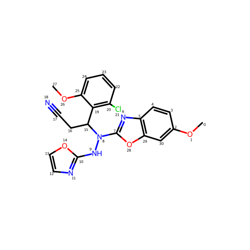 COc1ccc2nc(N(Nc3ncco3)C(CC#N)c3c(Cl)cccc3OC)oc2c1